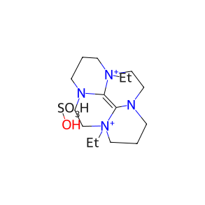 CC[N+]12CCCN3CC[N+]4(CC)CCCN(CC1)C4=C32.O=S(=O)(O)O